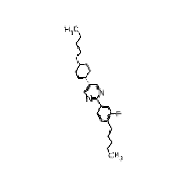 CCCCCc1ccc(-c2ncc([C@H]3CC[C@H](CCCCC)CC3)cn2)cc1F